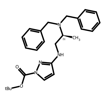 C[C@@H](CNc1ccn(C(=O)OC(C)(C)C)n1)N(Cc1ccccc1)Cc1ccccc1